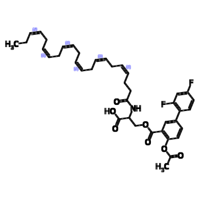 CC/C=C\C/C=C\C/C=C\C/C=C\C/C=C\C/C=C\CCC(=O)NC(COC(=O)c1cc(-c2ccc(F)cc2F)ccc1OC(C)=O)C(=O)O